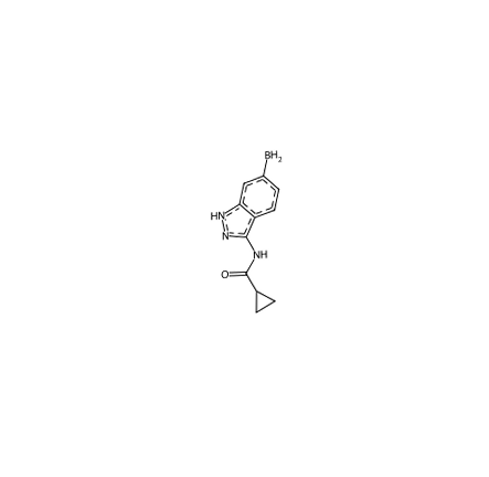 Bc1ccc2c(NC(=O)C3CC3)n[nH]c2c1